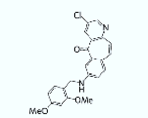 COc1ccc(CNc2ccc3ccc4ncc(Cl)cc4c(=O)c3c2)c(OC)c1